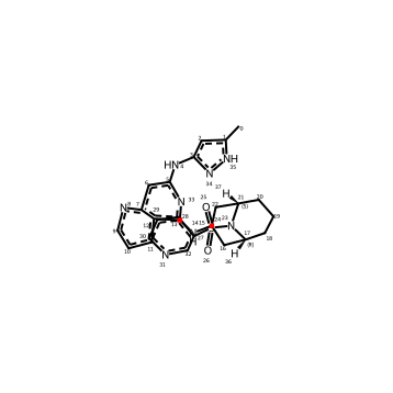 Cc1cc(Nc2cc3ncccc3c(NC3C[C@H]4CCC[C@@H](C3)N4S(=O)(=O)c3cccnc3)n2)n[nH]1